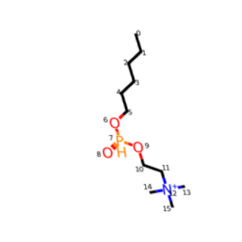 CCCCCCO[PH](=O)OCC[N+](C)(C)C